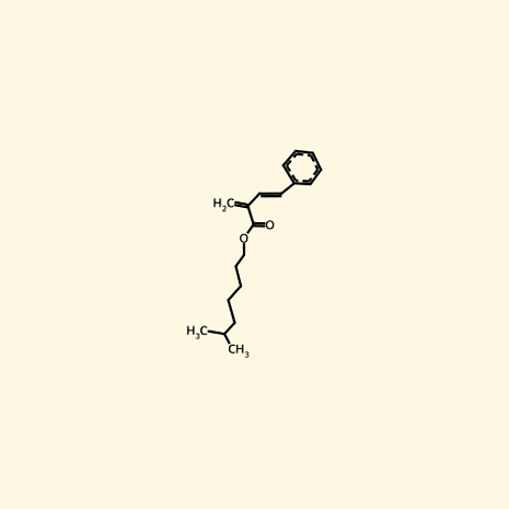 C=C(C=Cc1ccccc1)C(=O)OCCCCCC(C)C